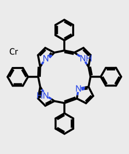 C1=Cc2nc1c(-c1ccccc1)c1ccc([nH]1)c(-c1ccccc1)c1nc(c(-c3ccccc3)c3ccc([nH]3)c2-c2ccccc2)C=C1.[Cr]